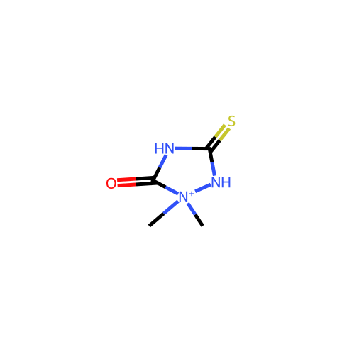 C[N+]1(C)NC(=S)NC1=O